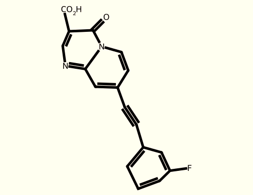 O=C(O)c1cnc2cc(C#Cc3cccc(F)c3)ccn2c1=O